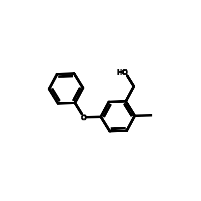 Cc1ccc(Oc2ccccc2)cc1CO